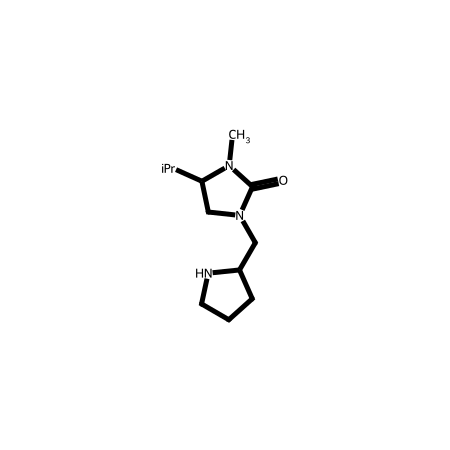 CC(C)C1CN(CC2CCCN2)C(=O)N1C